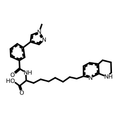 Cn1cc(-c2cccc(C(=O)NC(CCCCCCCc3ccc4c(n3)NCCC4)C(=O)O)c2)cn1